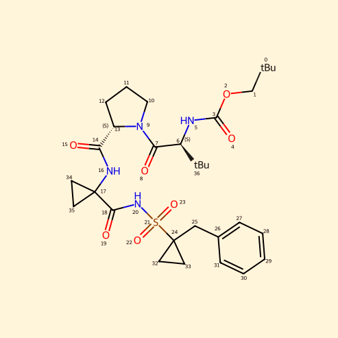 CC(C)(C)COC(=O)N[C@H](C(=O)N1CCC[C@H]1C(=O)NC1(C(=O)NS(=O)(=O)C2(Cc3ccccc3)CC2)CC1)C(C)(C)C